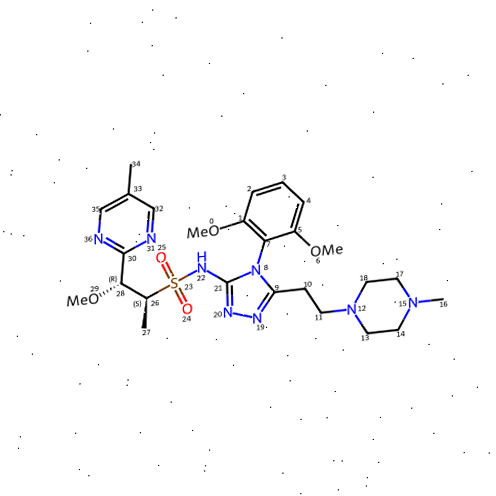 COc1cccc(OC)c1-n1c(CCN2CCN(C)CC2)nnc1NS(=O)(=O)[C@@H](C)[C@H](OC)c1ncc(C)cn1